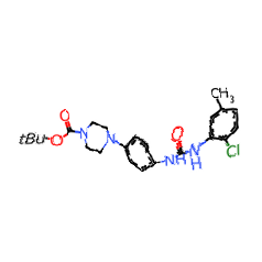 Cc1ccc(Cl)c(NC(=O)Nc2ccc(N3CCN(C(=O)OC(C)(C)C)CC3)cc2)c1